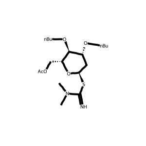 CCCCO[C@H]1[C@H](OCCCC)C[C@@H](SC(=N)N(C)C)O[C@@H]1COC(C)=O